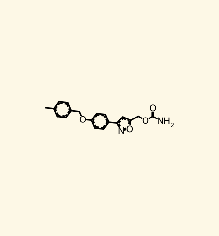 Cc1ccc(COc2ccc(-c3cc(COC(N)=O)on3)cc2)cc1